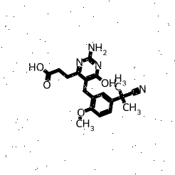 COc1ccc(C(C)(C)C#N)cc1Cc1c(O)nc(N)nc1CCC(=O)O